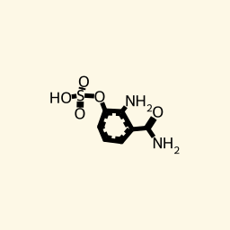 NC(=O)c1cccc(OS(=O)(=O)O)c1N